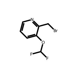 FC(F)Oc1cccnc1CBr